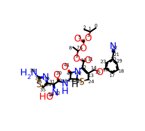 CC(C)OC(=O)OC(C)OC(=O)C1=C(COc2cccc(C#N)c2)CS[C@H]2C(NC(=O)C(=NO)c3csc(N)n3)C(=O)N12